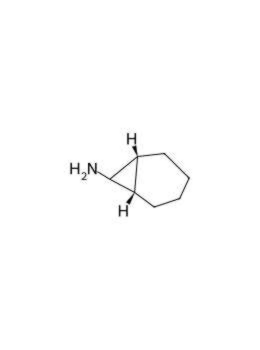 NC1[C@H]2CCCC[C@@H]12